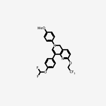 COc1ccc(N2C=C(c3ccc(OC(F)F)cc3)c3nc(OCC(F)(F)F)ccc3C2)cc1